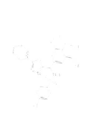 COc1cc(C(NS(=O)(=O)c2ccc(Cl)cc2)c2nnc(-c3ccccc3)o2)cc(OC)c1OC